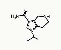 CC(C)n1nc(C(N)=O)c2c1CCNC2